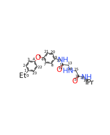 CCc1ccc(Oc2ccc(NC(=O)CNCC(=O)NC(C)C)cc2)cc1